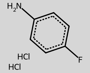 Cl.Cl.Nc1ccc(F)cc1